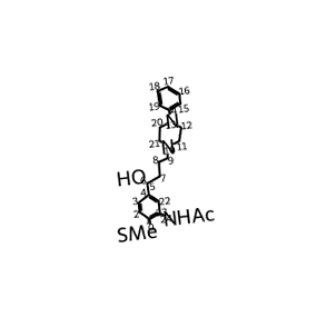 CSc1ccc(C(O)CCCN2CCN(c3ccccc3)CC2)cc1NC(C)=O